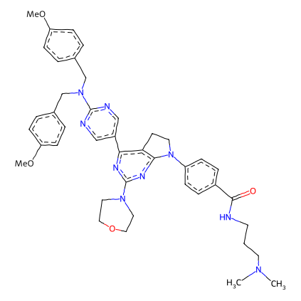 COc1ccc(CN(Cc2ccc(OC)cc2)c2ncc(-c3nc(N4CCOCC4)nc4c3CCN4c3ccc(C(=O)NCCCN(C)C)cc3)cn2)cc1